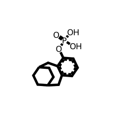 O=P(O)(O)Oc1cccc2c1CC1CCC(CC1)C2